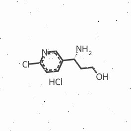 Cl.N[C@H](CCO)c1ccc(Cl)nc1